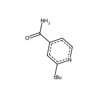 CC(C)(C)c1cc(C(N)=O)ccn1